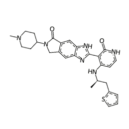 C[C@H](Cc1cccs1)Nc1cc[nH]c(=O)c1-c1nc2cc3c(cc2[nH]1)C(=O)N(C1CCN(C)CC1)C3